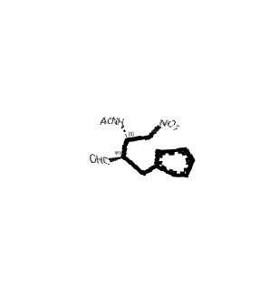 CC(=O)N[C@H](C[N+](=O)[O-])[C@H](C=O)Cc1ccccc1